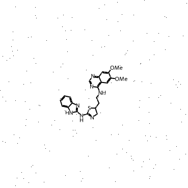 COc1cc2ncnc(NCCC3CN=C(Nc4nc5ccccc5[nH]4)S3)c2cc1OC